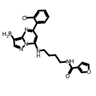 Bc1cnn2c(NCCCCNC(=O)c3ccoc3)cc(-c3ccccc3Cl)nc12